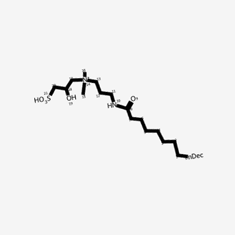 CCCCCCCCCCCCCCCCCC(=O)NCCC[N+](C)(C)CC(O)CS(=O)(=O)O